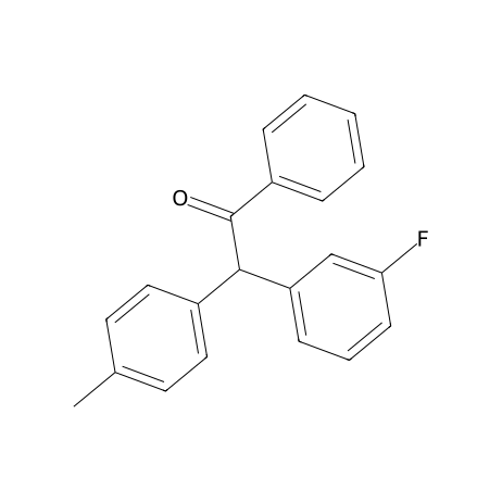 Cc1ccc(C(C(=O)c2ccccc2)c2cccc(F)c2)cc1